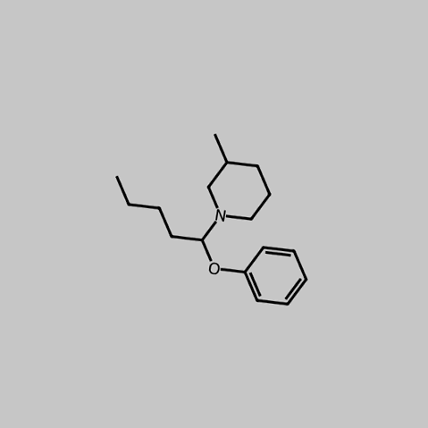 CCCCC(Oc1ccccc1)N1CCCC(C)C1